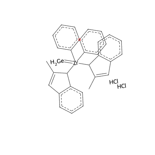 CC1=Cc2ccccc2[CH]1[Zr](=[GeH2])([c]1ccccc1)([c]1ccccc1)[CH]1C(C)=Cc2ccccc21.Cl.Cl